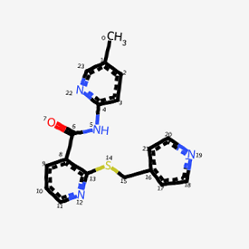 Cc1ccc(NC(=O)c2cccnc2SCc2ccncc2)nc1